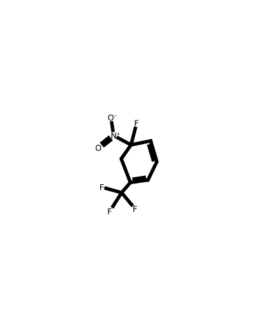 O=[N+]([O-])C1(F)C=CC=C(C(F)(F)F)C1